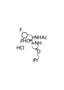 CC(=O)N[C@@H](Cc1cc(F)cc(F)c1)[C@H](O)[C@H]1CC[C@@H](OCCC(C)C)CN1.Cl